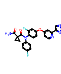 NC(=O)C1(C(=O)N(c2ccc(F)cc2)c2ccc(Oc3ccnc(-c4c[nH]nn4)c3)cc2F)CC1